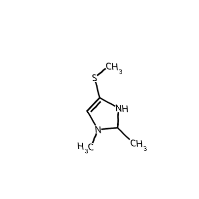 CSC1=CN(C)C(C)N1